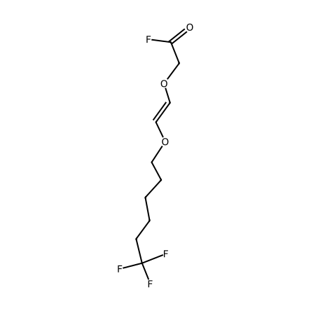 O=C(F)COC=COCCCCCC(F)(F)F